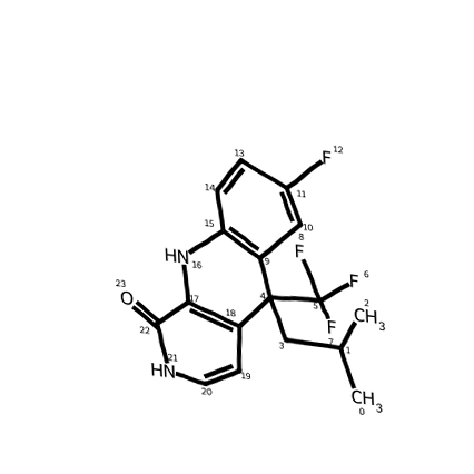 CC(C)CC1(C(F)(F)F)c2cc(F)ccc2Nc2c1cc[nH]c2=O